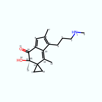 CNCCCC1=C(C)C=C2C(=O)[C@](C)(O)C3(CC3)C(C)=C21